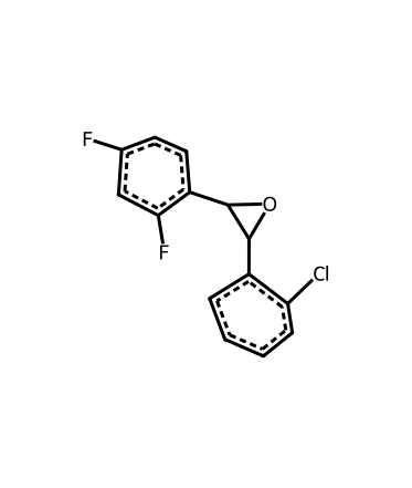 Fc1ccc(C2OC2c2ccccc2Cl)c(F)c1